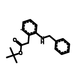 CC(C)(C)OC(=O)Cc1[c]cccc1NCc1ccccc1